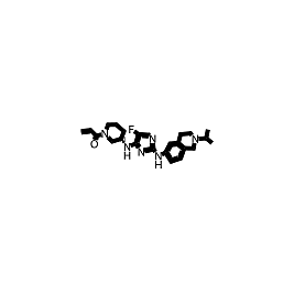 C=CC(=O)N1CCC[C@@H](Nc2nc(Nc3ccc4c(c3)CCN(C(C)C)C4)ncc2F)C1